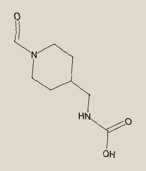 O=CN1CCC(CNC(=O)O)CC1